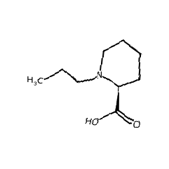 CCCN1CCCC[C@H]1C(=O)O